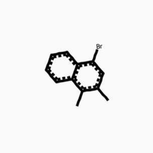 Cc1cc(Br)c2ccccc2c1C